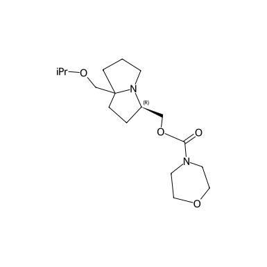 CC(C)OCC12CCCN1[C@@H](COC(=O)N1CCOCC1)CC2